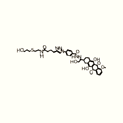 COc1cccc2c1C(=O)c1c(O)c3c(c(O)c1C2=O)CC(/C(CO)=N/NC(=O)c1ccc(-n2cc(CCCC(=O)NCCSCCCO)nn2)cc1)CC3